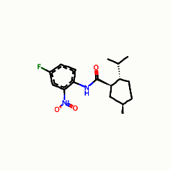 CC(C)[C@@H]1CC[C@@H](C)C[C@H]1C(=O)Nc1ccc(F)cc1[N+](=O)[O-]